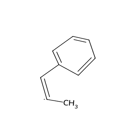 C/[C]=C\c1ccccc1